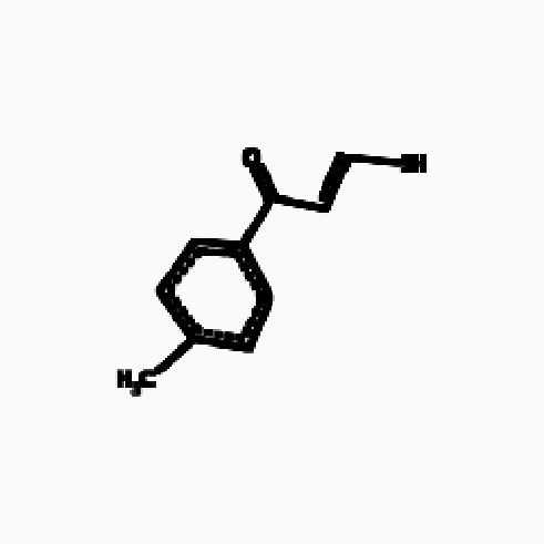 Cc1ccc(C(=O)/C=C/S)cc1